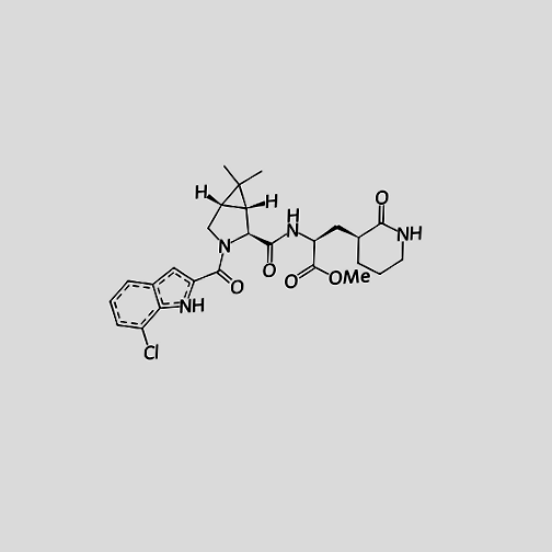 COC(=O)[C@H](C[C@@H]1CCCNC1=O)NC(=O)[C@@H]1[C@@H]2[C@H](CN1C(=O)c1cc3cccc(Cl)c3[nH]1)C2(C)C